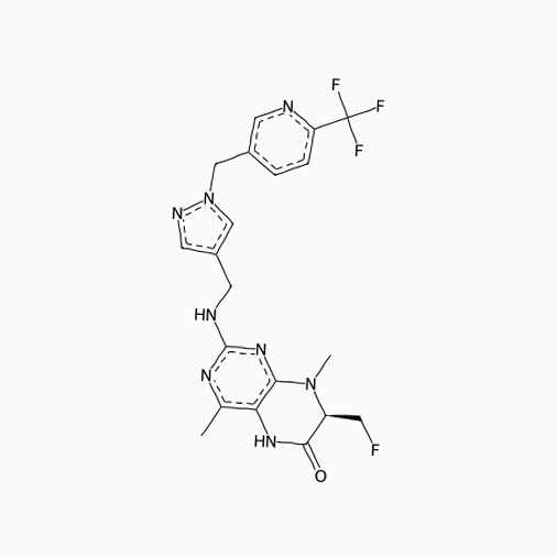 Cc1nc(NCc2cnn(Cc3ccc(C(F)(F)F)nc3)c2)nc2c1NC(=O)[C@H](CF)N2C